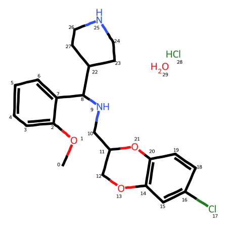 COc1ccccc1C(NCC1COc2cc(Cl)ccc2O1)C1CCNCC1.Cl.O